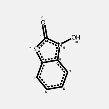 O=c1sc2ccccc2n1O